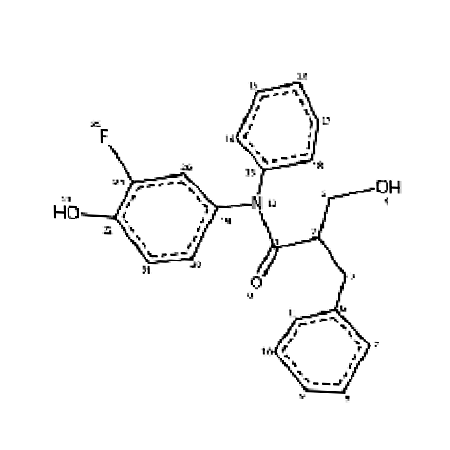 O=C(C(CO)Cc1ccccc1)N(c1ccccc1)c1ccc(O)c(F)c1